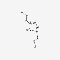 CCCC1=CC=C(CCC)[N]1